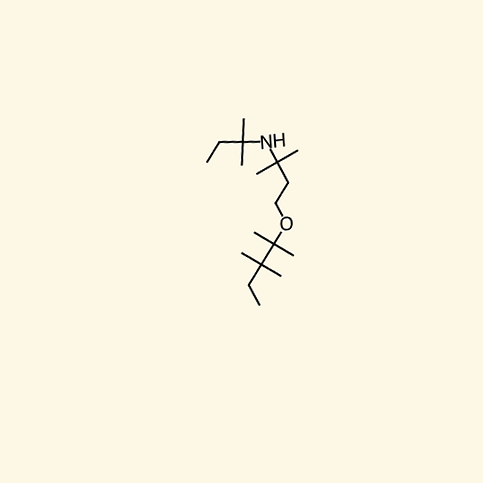 CCC(C)(C)NC(C)(C)CCOC(C)(C)C(C)(C)CC